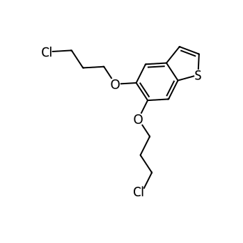 ClCCCOc1cc2ccsc2cc1OCCCCl